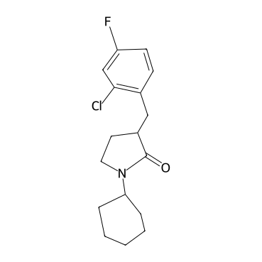 O=C1C(Cc2ccc(F)cc2Cl)CCN1C1CCCCC1